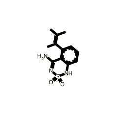 CC(C)=C(C)c1cccc2c1C(N)=NS(=O)(=O)N2